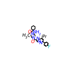 CC(C)c1cc(-c2ccc(F)cc2)nn2cc(C(=O)N3CCN(C(=O)C4(N)CCCCC4)[C@@H](C)C3)nc12